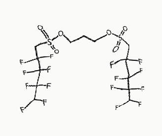 O=S(=O)(CC(F)(F)C(F)(F)C(F)(F)C(F)F)OCCCOS(=O)(=O)CC(F)(F)C(F)(F)C(F)(F)C(F)F